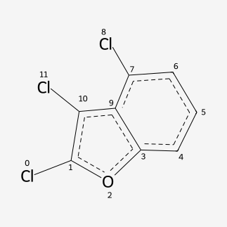 Clc1oc2cccc(Cl)c2c1Cl